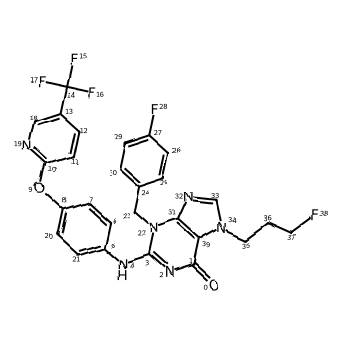 O=c1nc(Nc2ccc(Oc3ccc(C(F)(F)F)cn3)cc2)n(Cc2ccc(F)cc2)c2ncn(CCCF)c12